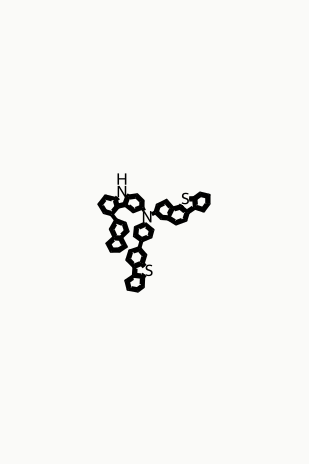 c1ccc2cc(-c3cccc4[nH]c5ccc(N(c6ccc(-c7ccc8c(c7)sc7ccccc78)cc6)c6ccc7c(ccc8c9ccccc9sc78)c6)cc5c34)ccc2c1